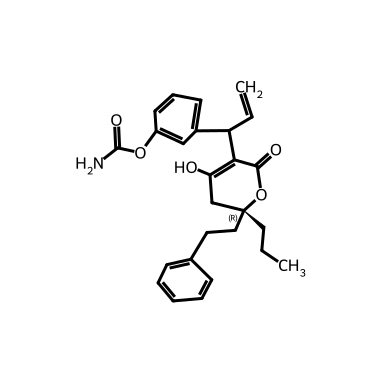 C=CC(C1=C(O)C[C@@](CCC)(CCc2ccccc2)OC1=O)c1cccc(OC(N)=O)c1